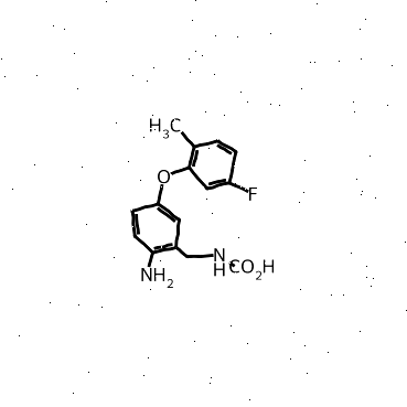 Cc1ccc(F)cc1Oc1ccc(N)c(CNC(=O)O)c1